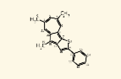 Cc1cc(C)cc2c3sc(-c4ccccc4)cc3c(C)c-2c1